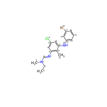 CCN(C)C=Nc1cc(Cl)cc(Nc2cccc(Br)c2)c1C